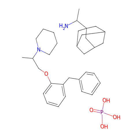 CC(COc1ccccc1Cc1ccccc1)N1CCCCC1.CC(N)C12CC3CC(CC(C3)C1)C2.O=P(O)(O)O